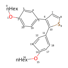 CCCCCCOc1ccc(-c2ccsc2-c2ccc(OCCCCCC)cc2)cc1